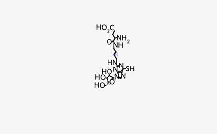 NC(CCC(=O)O)C(=O)NC/C=C/CNc1nc(S)c2ncn([C@@H]3O[C@H](CO)C(O)C3O)c2n1